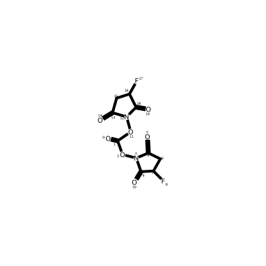 O=C(ON1C(=O)CC(F)C1=O)ON1C(=O)CC(F)C1=O